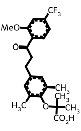 COc1cc(C(F)(F)F)ccc1C(=O)CCc1cc(C)c(OC(C)(C)C(=O)O)c(C)c1